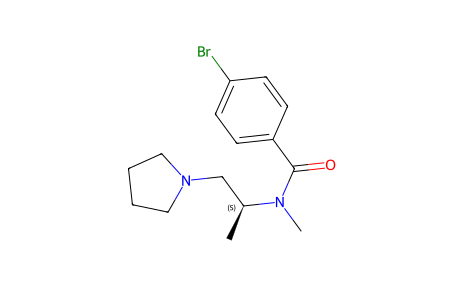 C[C@@H](CN1CCCC1)N(C)C(=O)c1ccc(Br)cc1